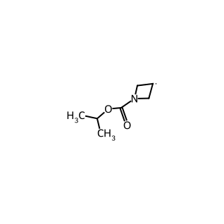 CC(C)OC(=O)N1C[CH]C1